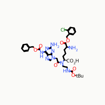 CC(C)(C)OC(=O)NCCN(C(=O)Cn1cnc2c(NC(=O)OCc3ccccc3)nc(N)nc21)[C@@H](CCCC(N)C(=O)OCc1ccccc1Cl)C(=O)O